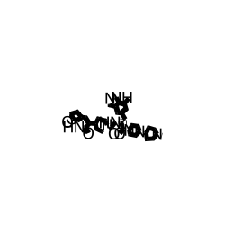 Cc1cc(C[C@@H](NC(=O)N2CCC(c3cc4c([nH]c3=O)[S+]([O-])CC4)CC2)C(=O)N2CCN(C3CCN(C)CC3)CC2)cc2cn[nH]c12